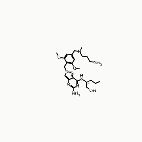 CCC[C@@H](CO)Nc1nc(N)nc2cn(Cc3c(OC)cc(CN(C)CCCN)cc3OC)nc12